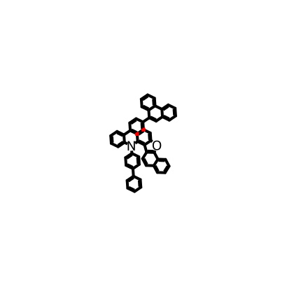 c1ccc(-c2ccc(N(c3ccccc3-c3ccc(-c4cc5ccccc5c5ccccc45)cc3)c3cccc4oc5c6ccccc6ccc5c34)cc2)cc1